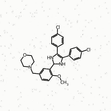 COc1ccc(CN2CCOCC2)cc1C1NC(c2ccc(Cl)cc2)=C(c2ccc(Cl)cc2)N1